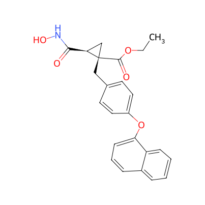 CCOC(=O)[C@@]1(Cc2ccc(Oc3cccc4ccccc34)cc2)C[C@@H]1C(=O)NO